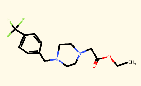 CCOC(=O)CN1CCN(Cc2ccc(C(F)(F)F)cc2)CC1